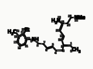 C/C=C(\C=C/C=C/CCNc1cccc(C)c1CC)/C=C/C=C(/N)CCNC